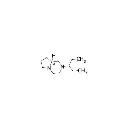 CCC(CC)N1CCN2CCC[C@H]2C1